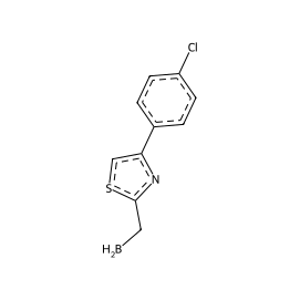 BCc1nc(-c2ccc(Cl)cc2)cs1